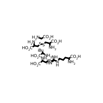 CC(C)CC(N)C(=O)O.CCC(C)C(N)C(=O)O.N=C(N)NCCCC(N)C(=O)O.NC(CSSCC(N)C(=O)O)C(=O)O.NCC(=O)O